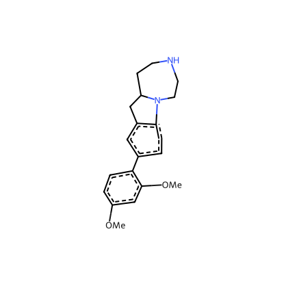 COc1ccc(-c2ccc3c(c2)CC2CCNCCN32)c(OC)c1